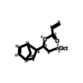 C=CC(=O)OC(CCCCCCCCC)C1CC2C=CC1C2